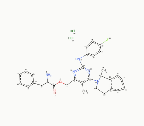 Cc1c(COC(=O)C(N)Cc2ccccc2)nc(Nc2ccc(F)cc2)nc1N1CCc2ccccc2C1C.Cl.Cl